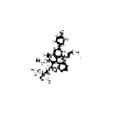 CCCOc1ccccc1C1C(C(=O)OCC(C)C)=C(C)NC2=C1C(=O)CC(c1ccc(Cl)cc1)C2